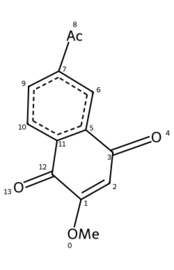 COC1=CC(=O)c2cc(C(C)=O)ccc2C1=O